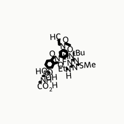 C#CCN1C(=O)COc2cc(F)c(N3C(=O)C4=C(CCCC4)C3=O)cc21.CCNc1nc(NC(C)(C)C)nc(SC)n1.O=C(O)CNCP(=O)(O)O